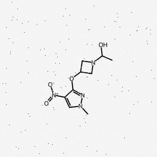 CC(O)N1CC(Oc2nn(C)cc2[N+](=O)[O-])C1